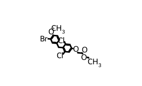 CCOC(=O)COc1cc(Cl)c(Cc2ccc(OC)c(Br)c2)c(Cl)c1